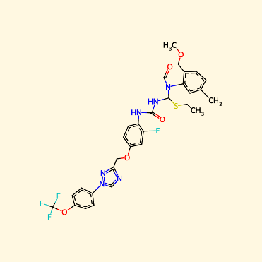 CCSC(NC(=O)Nc1ccc(OCc2ncn(-c3ccc(OC(F)(F)F)cc3)n2)cc1F)N(C=O)c1cc(C)ccc1COC